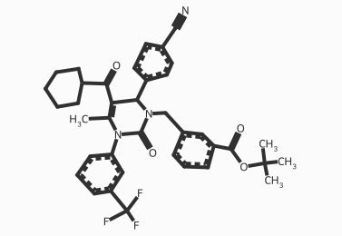 CC1=C(C(=O)C2CCCCC2)C(c2ccc(C#N)cc2)N(Cc2cccc(C(=O)OC(C)(C)C)c2)C(=O)N1c1cccc(C(F)(F)F)c1